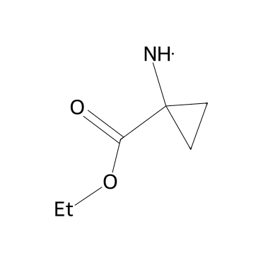 CCOC(=O)C1([NH])CC1